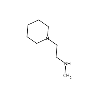 [CH2]NCCN1CCCCC1